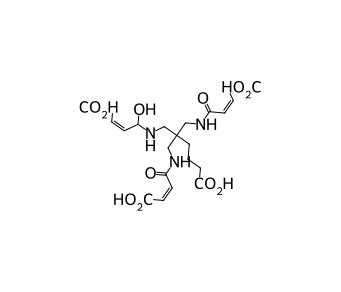 O=C(O)/C=C\C(=O)NCC(CCCC(=O)O)(CNC(=O)/C=C\C(=O)O)CNC(O)/C=C\C(=O)O